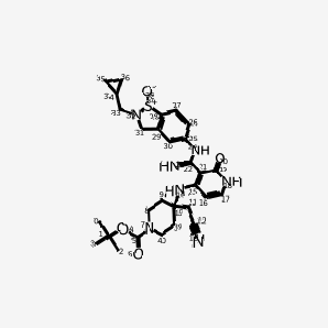 CC(C)(C)OC(=O)N1CCC(CC#N)(Nc2cc[nH]c(=O)c2C(=N)Nc2ccc3c(c2)CN(CC2CC2)[S+]3[O-])CC1